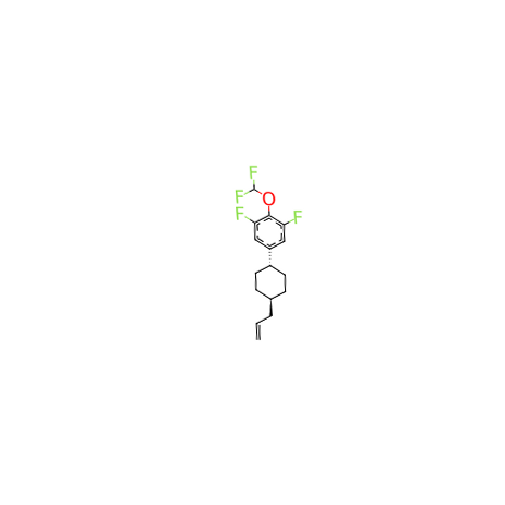 C=CC[C@H]1CC[C@H](c2cc(F)c(OC(F)F)c(F)c2)CC1